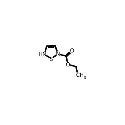 CCOC(=O)N1C=CNS1